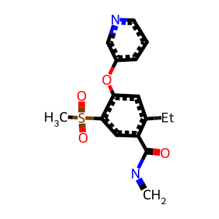 C=NC(=O)c1cc(S(C)(=O)=O)c(Oc2cccnc2)cc1CC